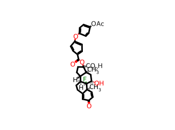 CC(=O)Oc1ccc(Oc2ccc(C(=O)O[C@]3(C(=O)O)CC[C@H]4[C@@H]5CCC6=CC(=O)C=C[C@]6(C)[C@@]5(F)[C@@H](O)C[C@@]43C)cc2)cc1